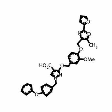 COc1cc(COc2nn(Cc3ccc(Oc4ccccc4)cc3)cc2C(=O)O)ccc1OCc1nc(-c2ccco2)oc1C